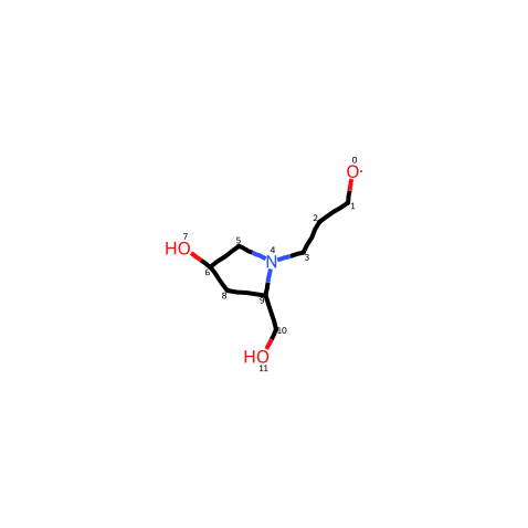 [O]CCCN1CC(O)CC1CO